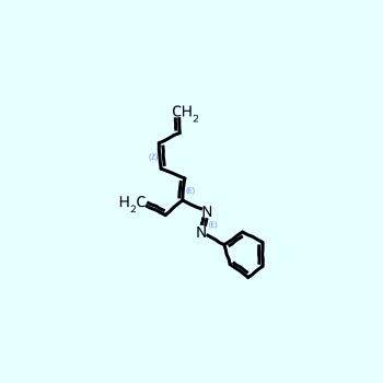 C=C\C=C/C=C(C=C)/N=N/c1ccccc1